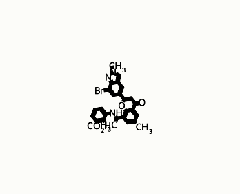 Cc1cc(C(C)Nc2ccccc2C(=O)O)c2oc(-c3cc(Br)c4nn(C)cc4c3)cc(=O)c2c1